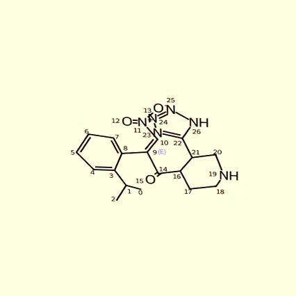 CC(C)c1ccccc1/C(=C\[N+](=O)[O-])C(=O)C1CCNCC1c1nnn[nH]1